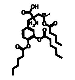 CCCCCC(=O)Oc1ccc(CC(N)(C[C@H](C)OC(=O)CCCC)C(=O)O)cc1OC(=O)CCCCC